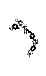 COc1ccc(N2C(=O)CSC2=NC(=O)NCCCc2ccc(-c3ncn(-c4ccc(OC(F)(F)F)cc4)n3)cc2)c(C)c1